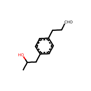 CC(O)Cc1ccc(CCC=O)cc1